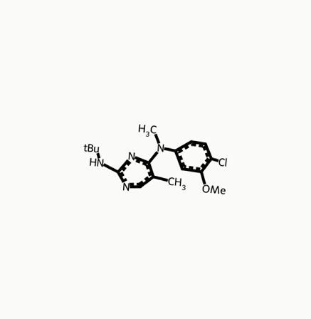 COc1cc(N(C)c2nc(NC(C)(C)C)ncc2C)ccc1Cl